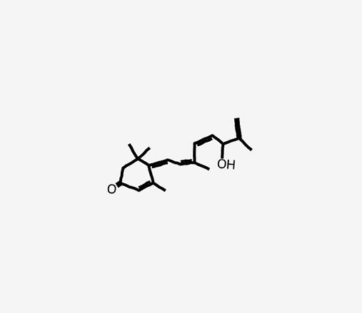 C=C(C)C(O)/C=C\C(C)=CC=C1C(C)=CC(=O)CC1(C)C